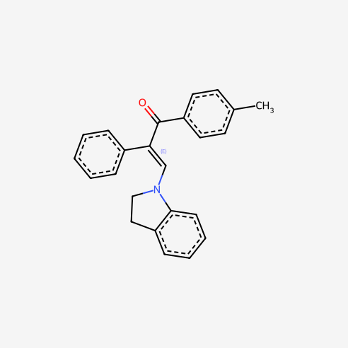 Cc1ccc(C(=O)/C(=C/N2CCc3ccccc32)c2ccccc2)cc1